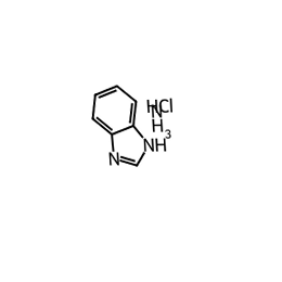 Cl.N.c1ccc2[nH]cnc2c1